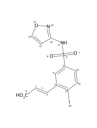 O=C(O)/C=C/c1cc(S(=O)(=O)Nc2ccon2)ccc1I